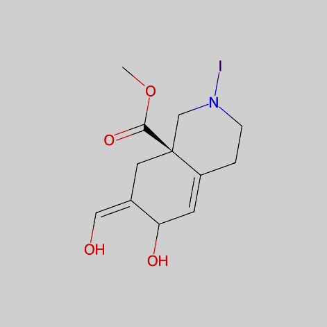 COC(=O)[C@]12C/C(=C/O)C(O)C=C1CCN(I)C2